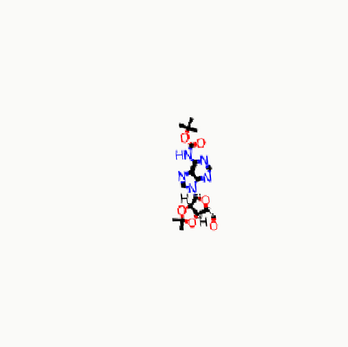 CC(C)(C)OC(=O)Nc1ncnc2c1ncn2[C@@H]1O[C@H](C=O)[C@H]2OC(C)(C)O[C@H]21